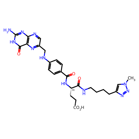 Cn1cc(CCCCNC(=O)[C@H](CCC(=O)O)NC(=O)c2ccc(NCc3cnc4nc(N)[nH]c(=O)c4n3)cc2)nn1